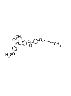 CCCCCCCOc1ccc(C(=O)Oc2ccc(CN(CC(C)=O)Cc3ccc(OC)cc3)cc2)cc1